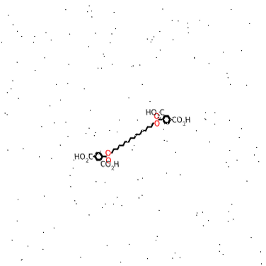 O=C(O)c1ccc(C(=O)OCCCCCCCCCCCCCCCCOC(=O)c2ccc(C(=O)O)cc2C(=O)O)c(C(=O)O)c1